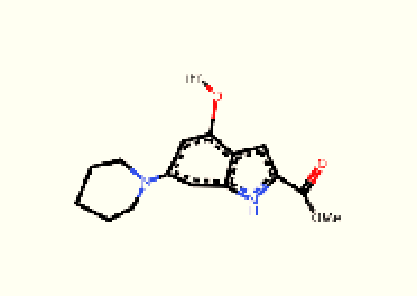 COC(=O)c1cc2c(OC(C)C)cc(N3CCCCC3)cc2[nH]1